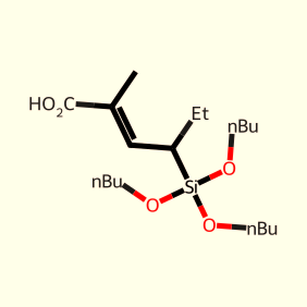 CCCCO[Si](OCCCC)(OCCCC)C(C=C(C)C(=O)O)CC